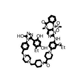 CCOc1cc(N2CCC(C(=O)N3CCC(CN4CCN(Cc5ccc(-n6c(O)nnc6-c6cc(CC)c(O)cc6O)cc5)CC4)CC3)CC2)ccc1Nc1ncc2c(n1)N(S(C)(=O)=O)c1ccccc1C(=O)N2C